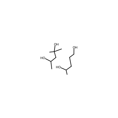 CC(O)CC(C)(C)O.CC(O)CCCO